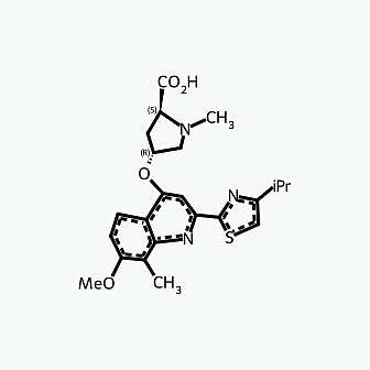 COc1ccc2c(O[C@@H]3C[C@@H](C(=O)O)N(C)C3)cc(-c3nc(C(C)C)cs3)nc2c1C